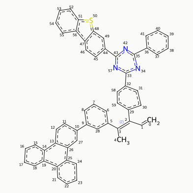 C=C/C(=C(\C)c1cccc(-c2ccc3c4ccccc4c4ccccc4c3c2)c1)c1ccc(-c2nc(-c3ccccc3)nc(-c3ccc4c(c3)sc3ccccc34)n2)cc1